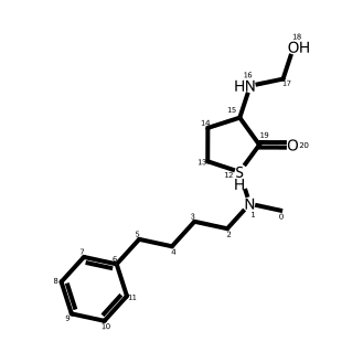 CN(CCCCc1ccccc1)[SH]1CCC(NCO)C1=O